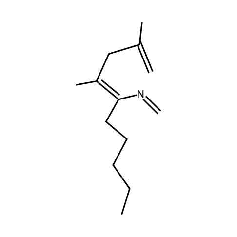 C=N/C(CCCCC)=C(/C)CC(=C)C